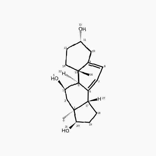 C[C@]12C[C@@H](O)[C@@H]3C(=CC=C4C[C@@H](O)CC[C@]43C)[C@@H]1CC[C@H]2O